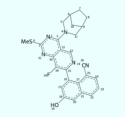 CSc1nc(N2CC3CCC(C3)C2)c2cnc(-c3cc(O)cc4cccc(C#N)c34)c(F)c2n1